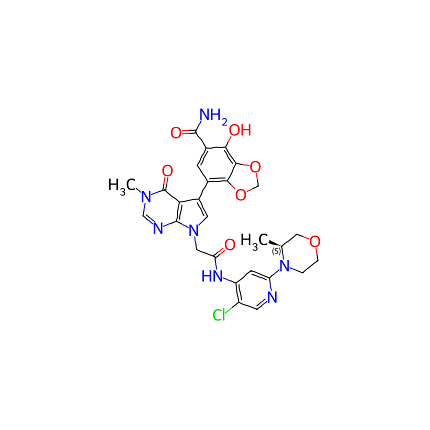 C[C@H]1COCCN1c1cc(NC(=O)Cn2cc(-c3cc(C(N)=O)c(O)c4c3OCO4)c3c(=O)n(C)cnc32)c(Cl)cn1